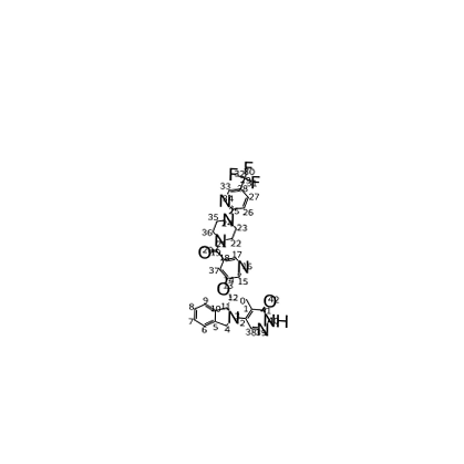 Cc1c(N2Cc3ccccc3[C@@H]2COc2cncc(C(=O)N3CCN(c4ccc(C(F)(F)F)cn4)CC3)c2)cn[nH]c1=O